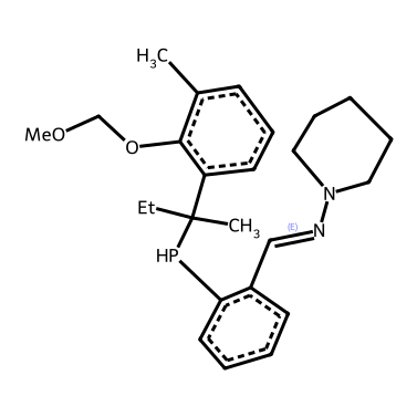 CCC(C)(Pc1ccccc1/C=N/N1CCCCC1)c1cccc(C)c1OCOC